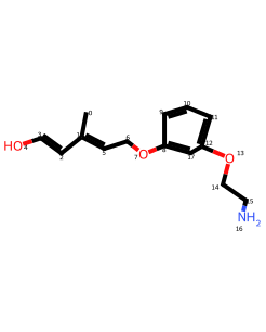 CC(/C=C/O)=C\COc1cccc(OCCN)c1